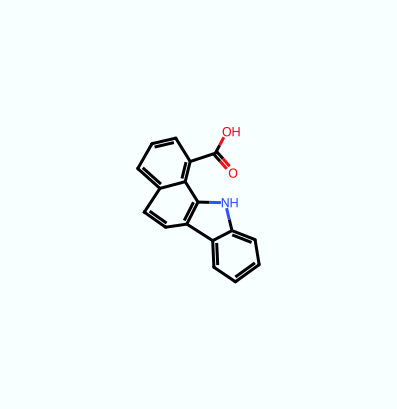 O=C(O)c1cccc2ccc3c4ccccc4[nH]c3c12